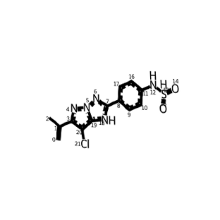 C=C(C)c1nn2nc(-c3ccc(N[SH](=O)=O)cc3)[nH]c2c1Cl